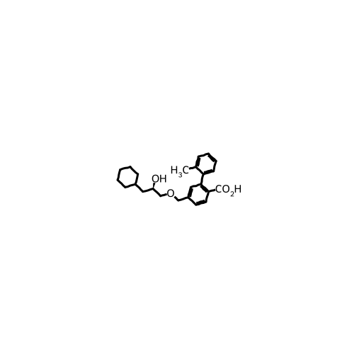 Cc1ccccc1-c1cc(COC[C@H](O)CC2CCCCC2)ccc1C(=O)O